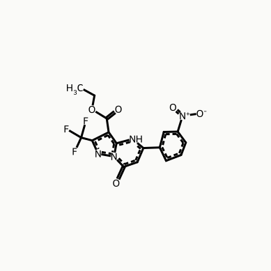 CCOC(=O)c1c(C(F)(F)F)nn2c(=O)cc(-c3cccc([N+](=O)[O-])c3)[nH]c12